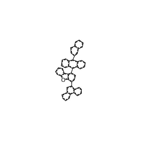 c1ccc2cc(-c3c4ccccc4c(-c4ccc(-c5cc6ccccc6c6ccccc56)c5oc6ccccc6c45)c4ccccc34)ccc2c1